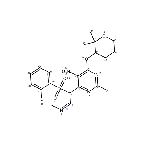 C/N=C\C(c1nc(C)nc(OC2CCCOC2(C)C)c1[N+](=O)[O-])S(=O)(=O)c1ccccc1F